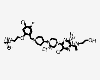 C=C(NCCO)c1nc(Cl)c(N2CCN(C3CCN(Cc4cc(F)c(Cl)cc4OCCN[S+](C)[O-])CC3)[C@@H](CC)C2)nc1N